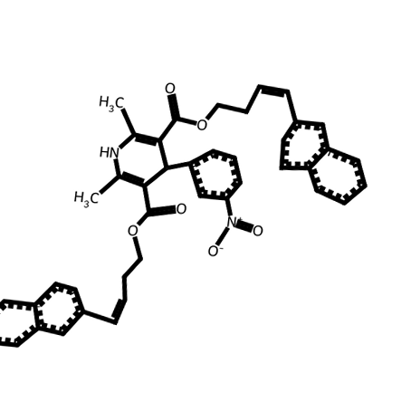 CC1=C(C(=O)OCC/C=C\c2ccc3ccccc3c2)C(c2cccc([N+](=O)[O-])c2)C(C(=O)OCC/C=C\c2ccc3ccccc3c2)=C(C)N1